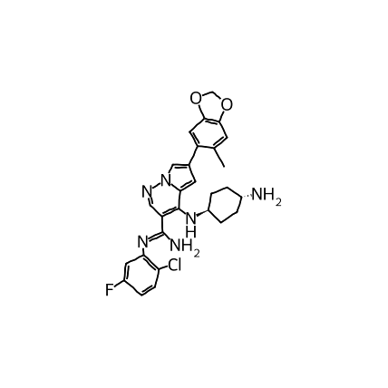 Cc1cc2c(cc1-c1cc3c(N[C@H]4CC[C@H](N)CC4)c(/C(N)=N/c4cc(F)ccc4Cl)cnn3c1)OCO2